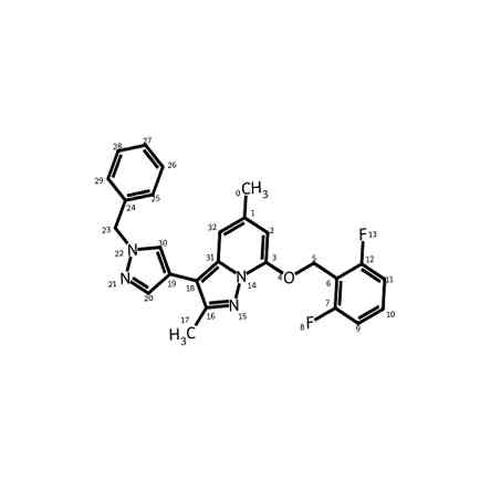 Cc1cc(OCc2c(F)cccc2F)n2nc(C)c(-c3cnn(Cc4ccccc4)c3)c2c1